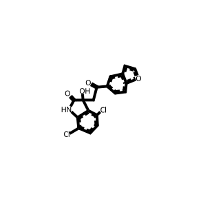 O=C(CC1(O)C(=O)Nc2c(Cl)ccc(Cl)c21)c1ccc2occc2c1